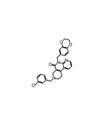 O=c1c2c(c3cccnc3n1Cc1ccc3c(c1)OCCO3)CCN(Cc1cccc(Cl)c1)C2